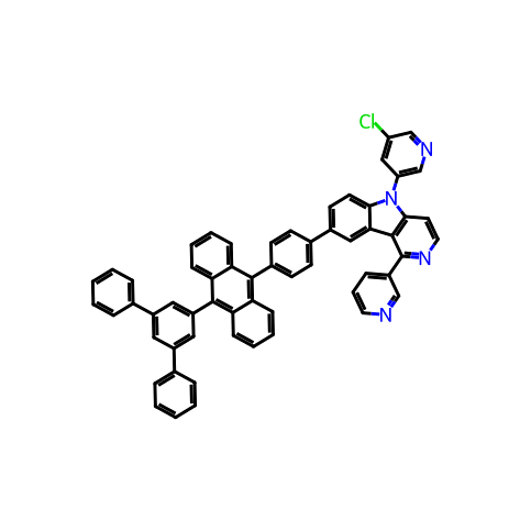 Clc1cncc(-n2c3ccc(-c4ccc(-c5c6ccccc6c(-c6cc(-c7ccccc7)cc(-c7ccccc7)c6)c6ccccc56)cc4)cc3c3c(-c4cccnc4)nccc32)c1